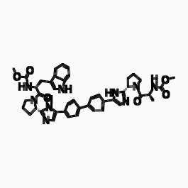 COC(=O)N[C@@H](C)C(=O)N1CCC[C@H]1c1ncc(-c2ccc(-c3ccc(-c4cnc([C@@H]5CCCN5C(=O)[C@H](Cc5c[nH]c6ccccc56)NC(=O)OC)[nH]4)cc3)cc2)[nH]1